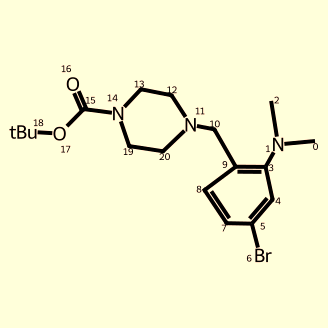 CN(C)c1cc(Br)ccc1CN1CCN(C(=O)OC(C)(C)C)CC1